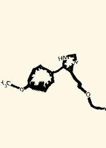 CCOCc1nc[nH]c1-c1ccc(OC)cc1